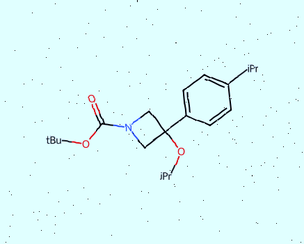 CC(C)OC1(c2ccc(C(C)C)cc2)CN(C(=O)OC(C)(C)C)C1